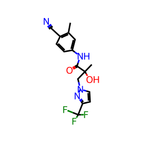 Cc1cc(NC(=O)C(C)(O)Cn2ccc(C(F)(F)F)n2)ccc1C#N